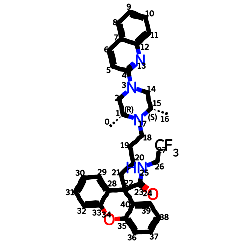 C[C@@H]1CN(c2ccc3ccccc3n2)C[C@H](C)N1CCCCC1(C(=O)NCC(F)(F)F)c2ccccc2Oc2ccccc21